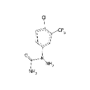 NC(=O)N(N)c1ccc(Cl)c(C(F)(F)F)c1